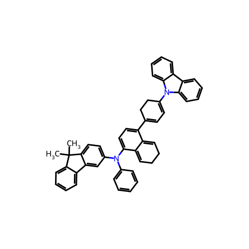 CC1(C)c2ccccc2-c2cc(N(c3ccccc3)c3ccc(C4=CC=C(n5c6ccccc6c6ccccc65)CC4)c4c3=CCCC=4)ccc21